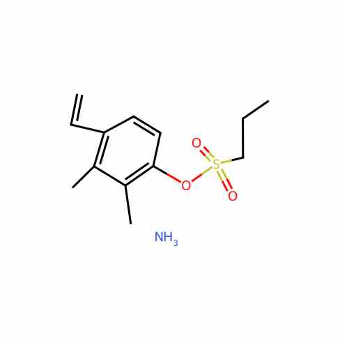 C=Cc1ccc(OS(=O)(=O)CCC)c(C)c1C.N